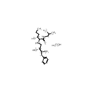 CCC[C@@H](O)C(NC[C@@H](O)[C@@H](N)Cc1ccccc1)C(=O)NCC(C)C.Cl.Cl